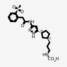 CS(=O)(=O)c1ccccc1CC(=O)Nc1cc([C@@H]2CC[C@@H](CCCNC(=O)O)C2)[nH]n1